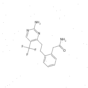 NC(=O)Cc1ccccc1CCc1nc(N)ncc1C(F)(F)F